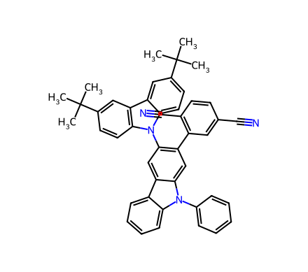 CC(C)(C)c1ccc2c(c1)c1cc(C(C)(C)C)ccc1n2-c1cc2c3ccccc3n(-c3ccccc3)c2cc1-c1cc(C#N)ccc1C#N